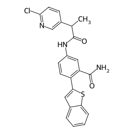 CC(C(=O)Nc1ccc(-c2cc3ccccc3s2)c(C(N)=O)c1)c1ccc(Cl)nc1